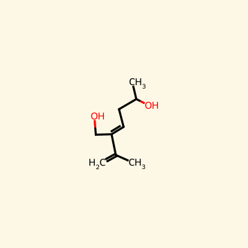 C=C(C)C(=CCC(C)O)CO